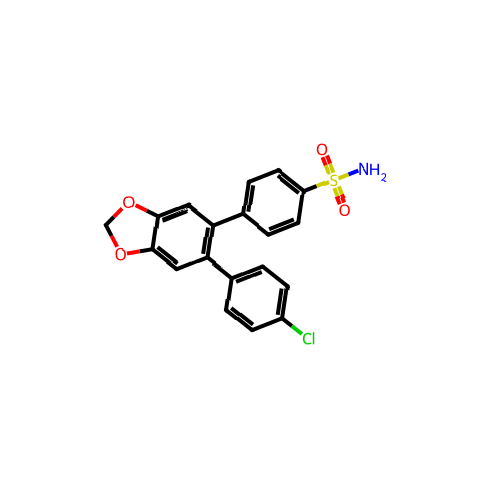 NS(=O)(=O)c1ccc(-c2cc3c(cc2-c2ccc(Cl)cc2)OCO3)cc1